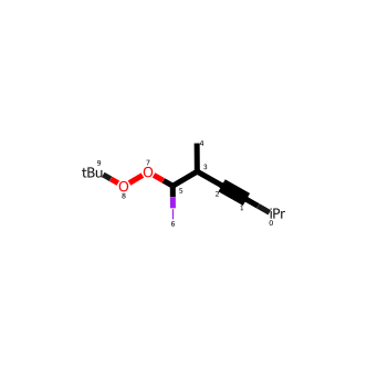 CC(C)C#CC(C)C(I)OOC(C)(C)C